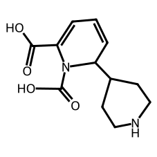 O=C(O)C1=CC=CC(C2CCNCC2)N1C(=O)O